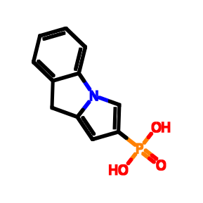 O=P(O)(O)c1cc2n(c1)-c1ccccc1C2